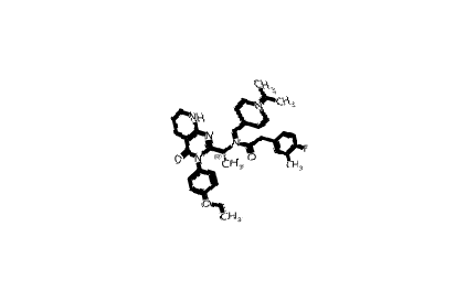 CCOc1ccc(-n2c([C@@H](C)N(CC3CCN(C(C)C)CC3)C(=O)Cc3ccc(F)c(C)c3)nc3c(c2=O)CCCN3)cc1